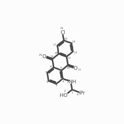 CC(C)C(O)Nc1cccc2c1C(=O)c1ccc(Cl)cc1C2=O